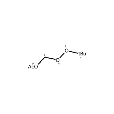 CC(=O)OCOOC(C)(C)C